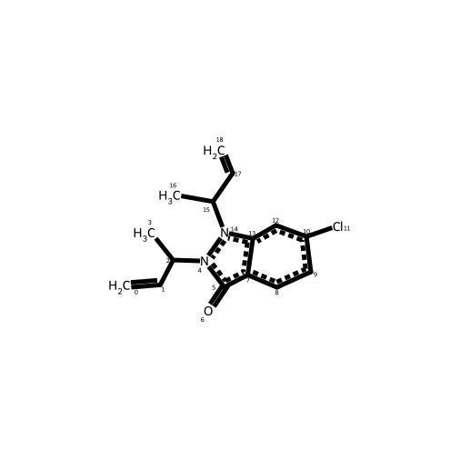 C=CC(C)n1c(=O)c2ccc(Cl)cc2n1C(C)C=C